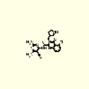 C[C@H](Nc1nc(N)nc(N)c1C#N)c1nc2cccc(Cl)c2c(=O)n1CC1CCNC1